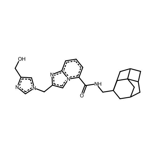 O=C(NCC12CC3CC4CC(C1)C4(C3)C2)c1cccc2nc(Cn3cnc(CO)c3)cn12